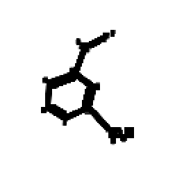 O=S(=O)(O)c1cccc([N]F)c1